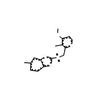 CCOc1ccnc(CS(=O)(=O)c2nc3cc(C)ccc3[nH]2)c1C